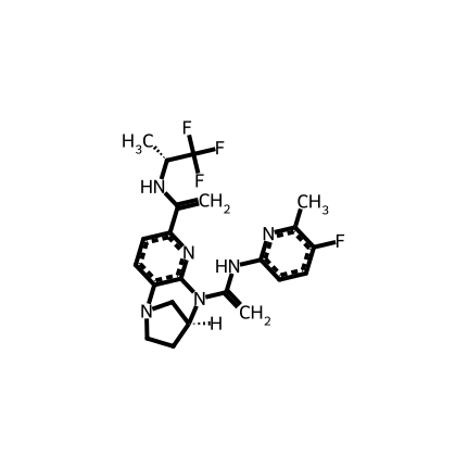 C=C(N[C@H](C)C(F)(F)F)c1ccc2c(n1)N(C(=C)Nc1ccc(F)c(C)n1)[C@H]1CCN2C1